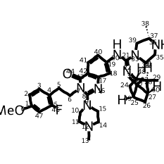 COc1ccc(CCn2c(N3CCN(C)CC3)nc3cc(NC(=N[C@H]4C[C@H]5C[C@@H]([C@@H]4C)C5(C)C)N4CCN[C@@H](C)C4)ccc3c2=O)c(F)c1